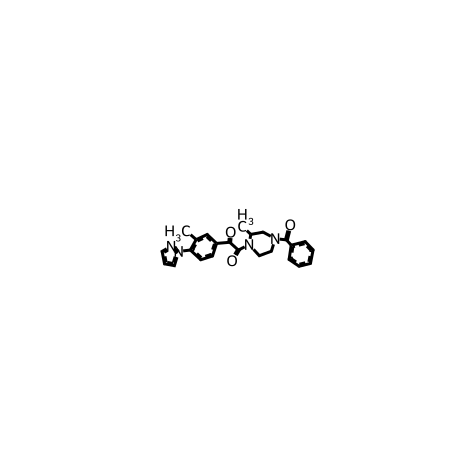 Cc1cc(C(=O)C(=O)N2CCN(C(=O)c3ccccc3)CC2C)ccc1-n1cccn1